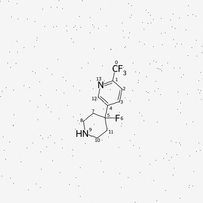 FC(F)(F)c1ccc(C2(F)CCNCC2)cn1